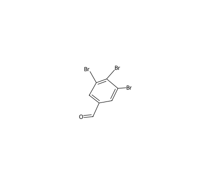 O=Cc1cc(Br)c(Br)c(Br)c1